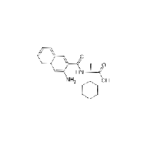 C[C@@](NC(=O)c1cc2ccccc2cc1N)(C(=O)O)C1CCCCC1